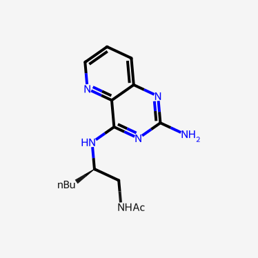 CCCC[C@H](CNC(C)=O)Nc1nc(N)nc2cccnc12